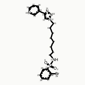 O=S(=O)(NCCCCCCCCn1cc(-c2cccnc2)nn1)c1ccccc1Br